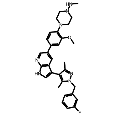 CNN1CCN(c2ccc(-c3cnc4[nH]cc(-c5c(C)nn(Cc6cccc(F)c6)c5C)c4c3)cc2OC)CC1